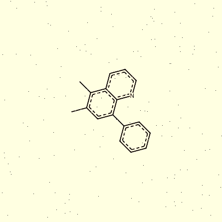 Cc1cc(-c2ccccc2)c2ncccc2c1C